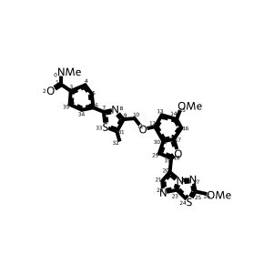 CNC(=O)c1ccc(-c2nc(COc3cc(OC)cc4oc(-c5cnc6sc(OC)nn56)cc34)c(C)s2)cc1